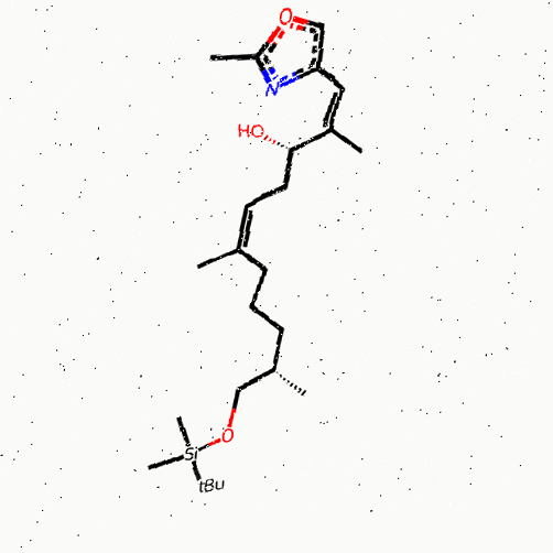 CC(=CC[C@H](O)C(C)=Cc1coc(C)n1)CCC[C@H](C)CO[Si](C)(C)C(C)(C)C